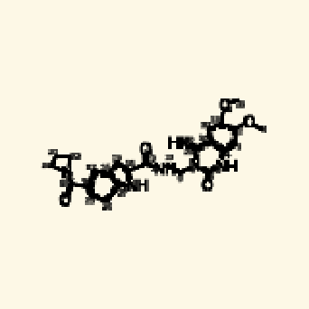 COc1cc2[nH]c(=O)n(CCNC(=O)c3cc4cc(C(=O)N5CCC5)ccc4[nH]3)c(=N)c2cc1OC